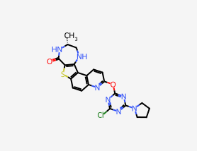 C[C@@H]1CNc2c(sc3ccc4nc(Oc5nc(Cl)nc(N6CCCC6)n5)ccc4c23)C(=O)N1